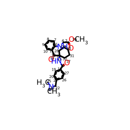 COC(=O)CNc1ccccc1C(=O)C1(NC(=O)c2ccc(CN(C)C)cc2)CCCCC1